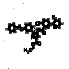 CCOC(=O)c1cc(NC(=O)c2cc(-c3ncccc3F)ccc2Cl)n(-c2cccc(OCc3ccccc3)c2)n1